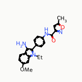 CCn1c(-c2ccc(NC(=O)c3cc(C)on3)cc2)c(N)c2ccc(OC)cc21